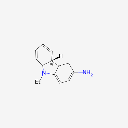 CCN1C2=CC=C(N)CC2[C@H]2C=CC=CC21